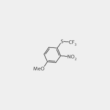 COc1ccc(SC(F)(F)F)c([N+](=O)[O-])c1